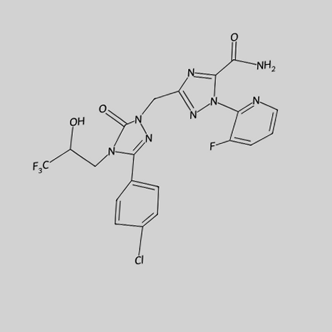 NC(=O)c1nc(Cn2nc(-c3ccc(Cl)cc3)n(CC(O)C(F)(F)F)c2=O)nn1-c1ncccc1F